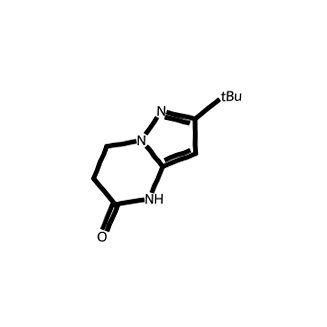 CC(C)(C)c1cc2n(n1)CCC(=O)N2